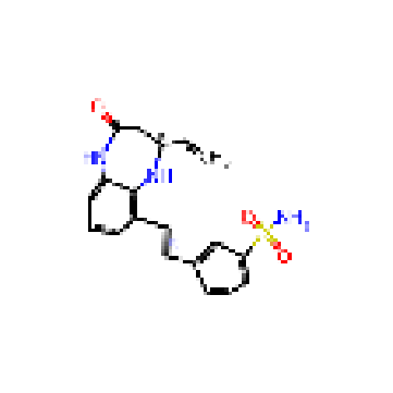 C=C[C@@H]1CC(=O)Nc2cccc(/C=C/c3cccc(S(N)(=O)=O)c3)c2N1